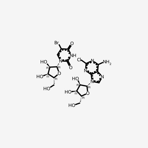 Nc1nc(Cl)nc2c1ncn2[C@@H]1O[C@H](CO)[C@@H](O)[C@H]1O.O=c1[nH]c(=O)n([C@@H]2O[C@H](CO)[C@@H](O)[C@H]2O)cc1Br